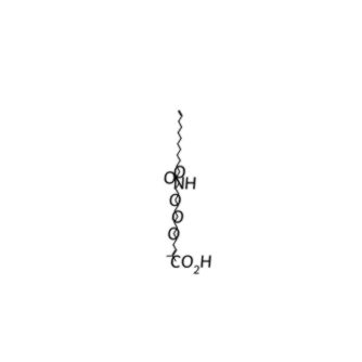 C=CCCCCCCCCCOC(=O)NCCOCCOCCOCC/C=C(\C)C(=O)O